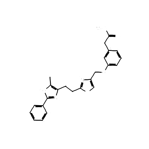 COC(=O)Cc1cccc(OCc2coc(CCc3nc(-c4ccccc4)oc3C)n2)c1